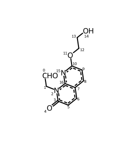 O=CCn1c(=O)ccc2ccc(OCCO)nc21